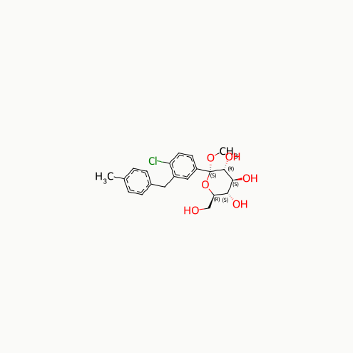 CO[C@@]1(c2ccc(Cl)c(Cc3ccc(C)cc3)c2)O[C@H](CO)[C@@H](O)[C@H](O)[C@H]1O